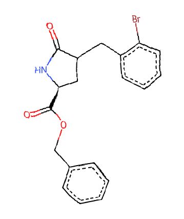 O=C1N[C@H](C(=O)OCc2ccccc2)CC1Cc1ccccc1Br